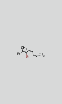 C\C=C/C=C\C(Br)=C(/C)CC